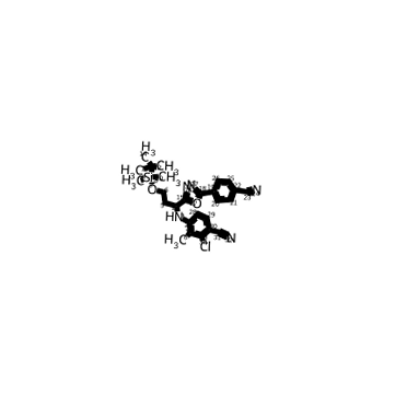 Cc1c(NC(CCO[Si](C)(C)C(C)(C)C)c2nnc(-c3ccc(C#N)cc3)o2)ccc(C#N)c1Cl